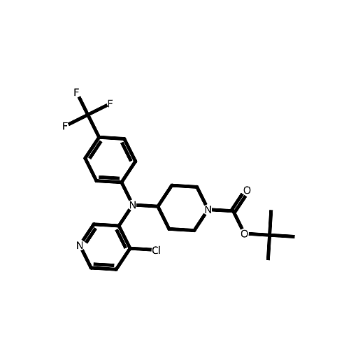 CC(C)(C)OC(=O)N1CCC(N(c2ccc(C(F)(F)F)cc2)c2cnccc2Cl)CC1